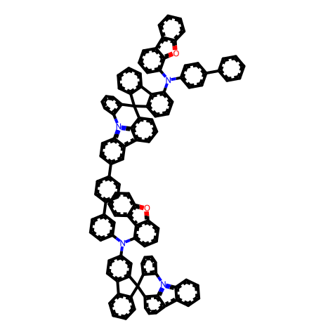 c1ccc(-c2ccc(N(c3cccc4c3-c3ccccc3C43c4ccccc4-n4c5ccc(-c6ccc(-c7cccc(N(c8ccc9c(c8)C8(c%10ccccc%10-9)c9ccccc9-n9c%10ccccc%10c%10cccc8c%109)c8cccc9oc%10ccccc%10c89)c7)cc6)cc5c5cccc3c54)c3cccc4c3oc3ccccc34)cc2)cc1